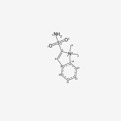 C[N+]1(C)C(S(N)(=O)=O)=Cc2ccccc21